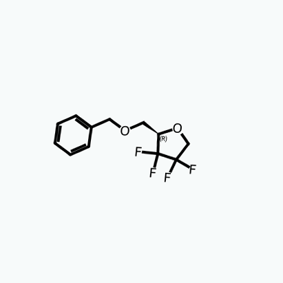 FC1(F)CO[C@H](COCc2ccccc2)C1(F)F